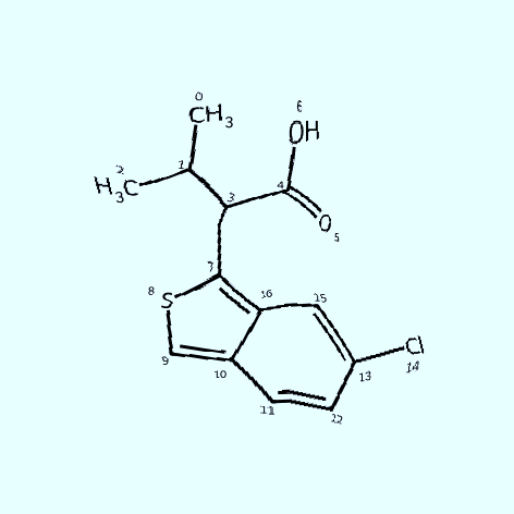 CC(C)C(C(=O)O)c1scc2ccc(Cl)cc12